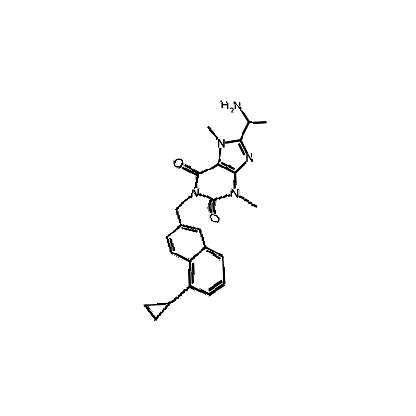 CC(N)c1nc2c(c(=O)n(Cc3ccc4c(C5CC5)cccc4c3)c(=O)n2C)n1C